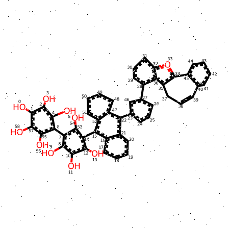 Oc1c(O)c(O)c(-c2c(O)c(O)c(O)c(-c3c4ccccc4c(-c4cccc(-c5cccc6oc7c(c56)CC=Cc5ccccc5-7)c4)c4ccccc34)c2O)c(O)c1O